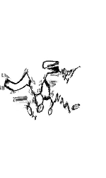 CCCNC(=O)c1cc(C(=O)NC)c2c(c1)[C@H](c1ccccc1)[C@@H](CO)O2